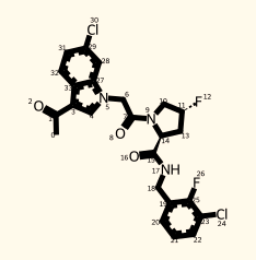 CC(=O)c1cn(CC(=O)N2C[C@H](F)C[C@H]2C(=O)NCc2cccc(Cl)c2F)c2cc(Cl)ccc12